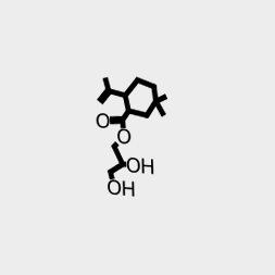 C=C(C)C1CCC(C)(C)CC1C(=O)OCC(O)CO